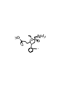 [CH2]c1ccccc1C(CP(=O)(CN)OCC)C(C)CCC(=O)O